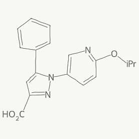 CC(C)Oc1ccc(-n2nc(C(=O)O)cc2-c2ccccc2)cn1